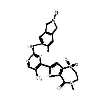 CCN1Cc2cc(C)c(Nc3ncc(C(F)(F)F)c(-c4cc5c(s4)C(=O)N(C)CCS5(=O)=O)n3)cc2C1